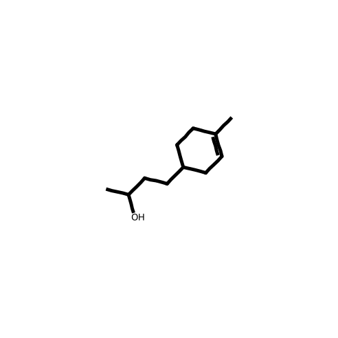 CC1=CCC(CCC(C)O)CC1